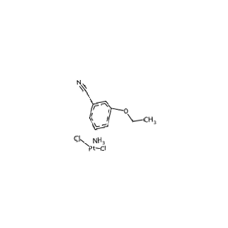 CCOc1cccc(C#N)c1.N.[Cl][Pt][Cl]